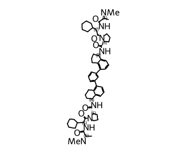 CN[C@@H](C)C(=O)N[C@H](C(=O)N1CCC[C@H]1C(=O)N[C@@H]1CCCc2c(-c3cccc(-c4cccc5c4CCC[C@H]5NC(=O)[C@@H]4CCCN4C(=O)[C@@H](NC(=O)[C@H](C)NC)C4CCCCC4)c3)cccc21)C1CCCCC1